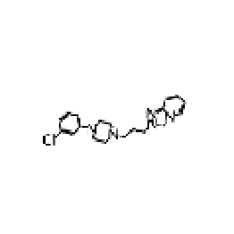 Clc1cccc(N2CCN(CCCN3CN4C=CC=CC4=N3)CC2)c1